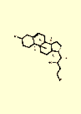 CC(C)CC[C@@H](O)[C@@H](C)[C@H]1CC[C@H]2[C@@H]3CC=C4CC(O)CC[C@]4(C)[C@H]3CC[C@]12C